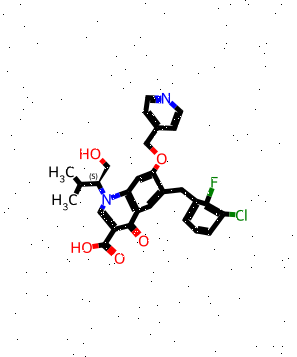 CC(C)[C@@H](CO)n1cc(C(=O)O)c(=O)c2cc(Cc3cccc(Cl)c3F)c(OCc3ccncc3)cc21